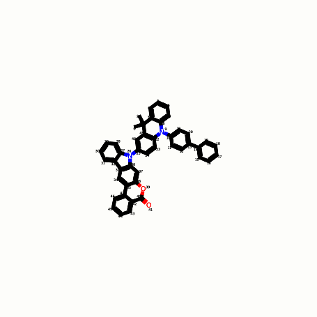 CC1(C)c2ccccc2N(c2ccc(-c3ccccc3)cc2)c2ccc(-n3c4ccccc4c4cc5c(cc43)oc(=O)c3ccccc35)cc21